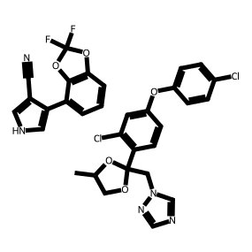 CC1COC(Cn2cncn2)(c2ccc(Oc3ccc(Cl)cc3)cc2Cl)O1.N#Cc1c[nH]cc1-c1cccc2c1OC(F)(F)O2